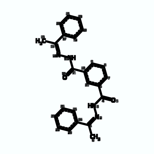 CC(=NNC(=O)c1cccc(C(=O)NN=C(C)c2ccccc2)c1)c1ccccc1